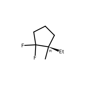 CC[C@]1(C)CCCC1(F)F